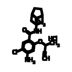 C#CC(C)Oc1cc(N)c(Cl)cc1C(=O)NC1CC2CCC(C1)N2C.Cl